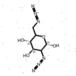 [N-]=[N+]=NCC1O[C@H](O)C(N=[N+]=[N-])[C@@H](O)[C@@H]1O